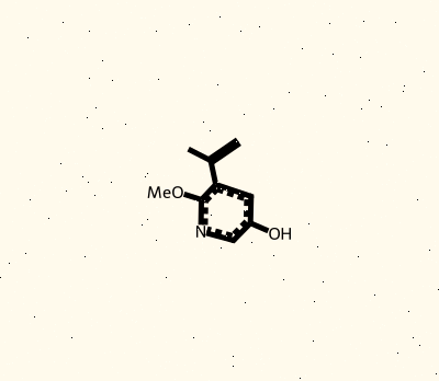 C=C(C)c1cc(O)cnc1OC